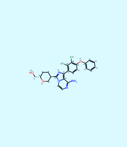 Nc1nccn2c([C@@H]3CC[C@@H](CO)OC3)nc(-c3ccc(Oc4ccccc4)c(F)c3F)c12